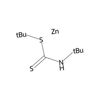 CC(C)(C)NC(=S)SC(C)(C)C.[Zn]